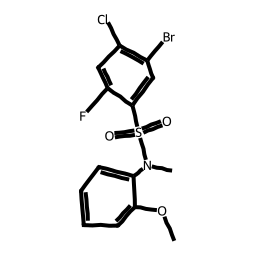 COc1ccccc1N(C)S(=O)(=O)c1cc(Br)c(Cl)cc1F